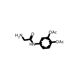 CC(=O)Oc1ccc(NC(=O)CN)cc1OC(C)=O